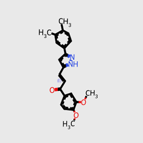 COc1ccc(C(=O)/C=C/c2cc(-c3ccc(C)c(C)c3)n[nH]2)cc1OC